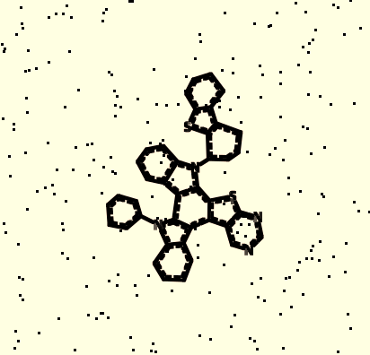 c1ccc(-n2c3ccccc3c3c4c5cncnc5sc4c4c(c5ccccc5n4-c4cccc5c4sc4ccccc45)c32)cc1